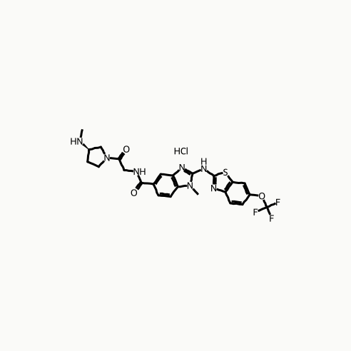 CN[C@@H]1CCN(C(=O)CNC(=O)c2ccc3c(c2)nc(Nc2nc4ccc(OC(F)(F)F)cc4s2)n3C)C1.Cl